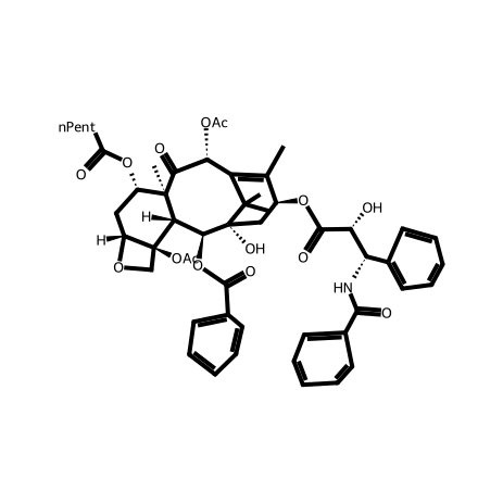 CCCCCC(=O)O[C@H]1C[C@H]2OC[C@@]2(OC(C)=O)[C@H]2[C@H](OC(=O)c3ccccc3)[C@]3(O)C[C@H](OC(=O)[C@H](O)[C@@H](NC(=O)c4ccccc4)c4ccccc4)C(C)=C([C@@H](OC(C)=O)C(=O)[C@]12C)C3(C)C